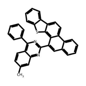 Cc1ccc2c(-c3ccccc3)nc(-c3cc4ccccc4c4ccc5c6ccccc6sc5c34)nc2c1